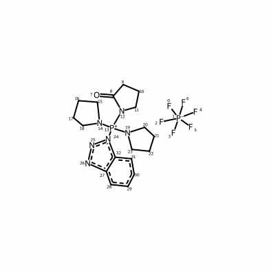 F[P-](F)(F)(F)(F)F.O=C1CCCN1[P+](N1CCCC1)(N1CCCC1)n1nnc2ccccc21